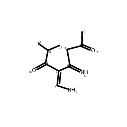 CC(=O)CC(=N)/C(=C\N)C(=O)C(C)C